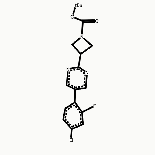 CC(C)(C)OC(=O)N1CC(c2ncc(-c3ccc(Cl)cc3F)cn2)C1